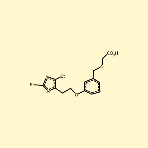 CCc1nc(CCOc2cccc(CSCC(=O)O)c2)c(CC)s1